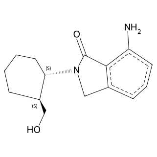 Nc1cccc2c1C(=O)N([C@H]1CCCC[C@@H]1CO)C2